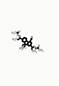 CC/C(=N\OC(C)=O)c1ccc2c(c1)C(CC)(CC)c1cc(/C(CC)=N/OC(C)=O)cc(C#N)c1-2